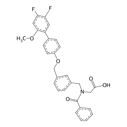 COc1cc(F)c(F)cc1-c1ccc(OCc2cccc(CN(CC(=O)O)C(=O)c3ccccc3)c2)cc1